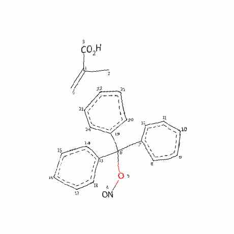 C=C(C)C(=O)O.O=NOC(c1ccccc1)(c1ccccc1)c1ccccc1